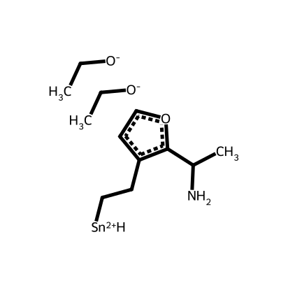 CC(N)c1occc1C[CH2][SnH+2].CC[O-].CC[O-]